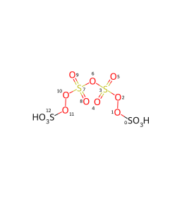 O=S(=O)(O)OOS(=O)(=O)OS(=O)(=O)OOS(=O)(=O)O